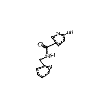 O=C(NCc1ccccn1)c1ccc(O)nc1